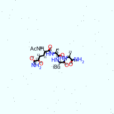 CCC(C)[C@H](NC(=O)[C@H](C)NC(=O)[C@H](CCC(=O)C(N)=O)NC(C)=O)C(=O)N[C@@H](C)C(N)=O